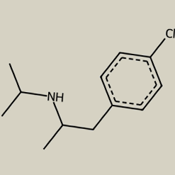 CC(C)NC(C)Cc1ccc(Cl)cc1